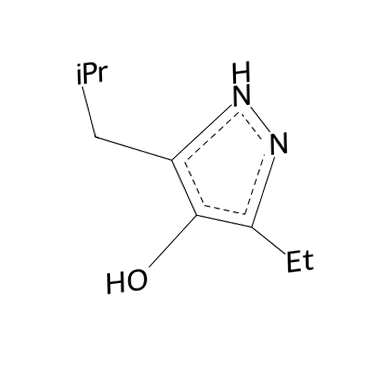 CCc1n[nH]c(CC(C)C)c1O